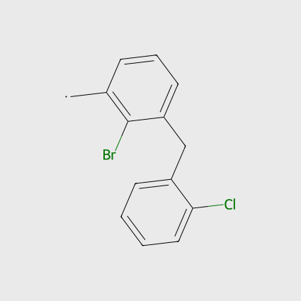 [CH2]c1cccc(Cc2ccccc2Cl)c1Br